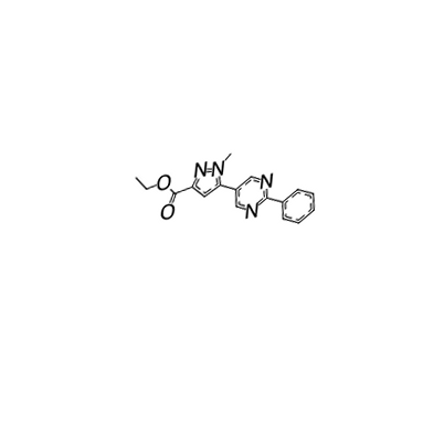 CCOC(=O)c1cc(-c2cnc(-c3ccccc3)nc2)n(C)n1